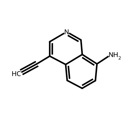 C#Cc1cncc2c(N)cccc12